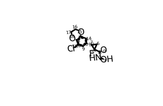 O=C(NO)C1(F)C[C@H]1c1cc(Cl)c2c(c1)OCCO2